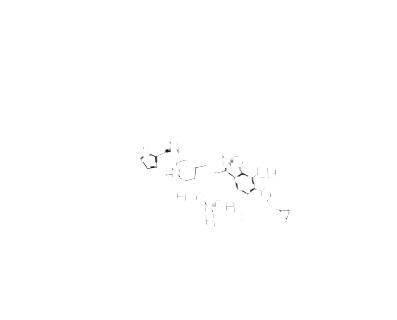 CNC.Cc1c(OCC2CC2)ccc2c(CCC3CCN(Cc4ccsc4C#N)CC3)noc12